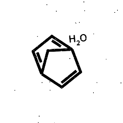 C1=CC2=CC=C1C2.O